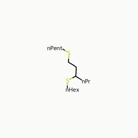 CC[CH]CCSCCC(CCC)SCCCCCC